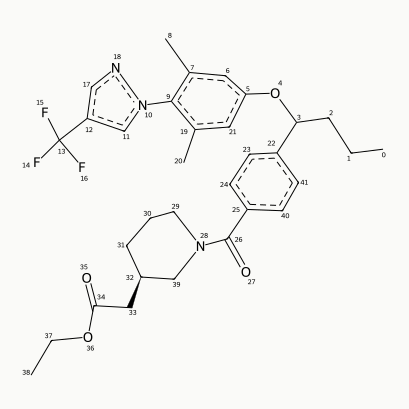 CCCC(Oc1cc(C)c(-n2cc(C(F)(F)F)cn2)c(C)c1)c1ccc(C(=O)N2CCC[C@H](CC(=O)OCC)C2)cc1